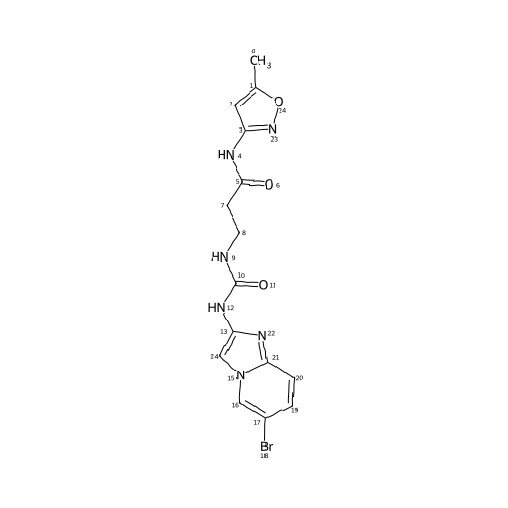 Cc1cc(NC(=O)CCNC(=O)Nc2cn3cc(Br)ccc3n2)no1